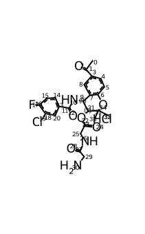 CC(=O)c1ccc2c(c1)[C@@H](NC(=O)c1ccc(F)c(Cl)c1)[C@H](OC(=O)CNC(=O)CN)C(C)(C)O2.Cl